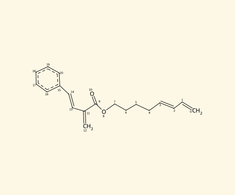 C=CC=CCCCCOC(=O)C(=C)C=Cc1ccccc1